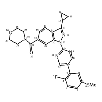 CSc1ccc(F)c(-c2cnc(-n3nc(C4CC4)c4ccc(C(=O)N5CCOCC5)cc43)nc2)c1